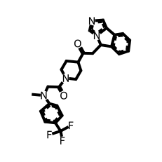 CN(CC(=O)N1CCC(C(=O)CC2c3ccccc3-c3cncn32)CC1)c1ccc(C(F)(F)F)cc1